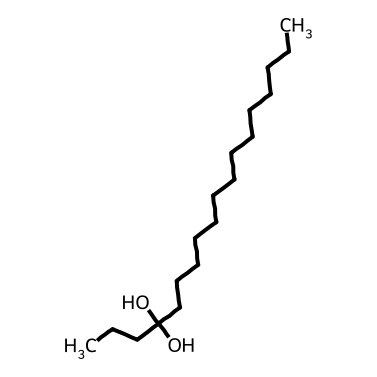 CCCCCCCCCCCCCCC(O)(O)CCC